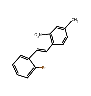 Cc1ccc(C=Cc2ccccc2Br)c([N+](=O)[O-])c1